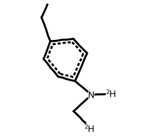 [2H]CN([2H])c1ccc(CC)cc1